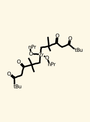 CCC[O][Zr]([CH2]C(C)(C)C(=O)CC(=O)C(C)(C)C)([CH2]C(C)(C)C(=O)CC(=O)C(C)(C)C)[O]CCC